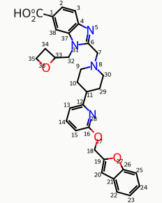 O=C(O)c1ccc2nc(CN3CCC(c4cccc(OCc5cc6ccccc6o5)n4)CC3)n(CC3CCO3)c2c1